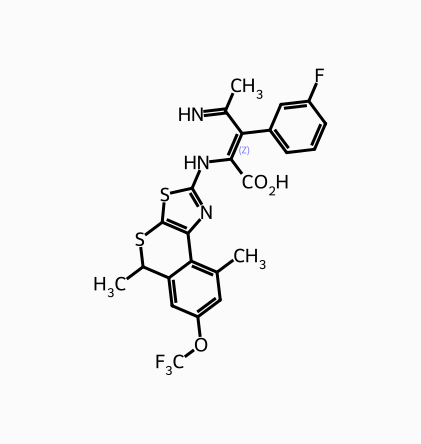 CC(=N)/C(=C(\Nc1nc2c(s1)SC(C)c1cc(OC(F)(F)F)cc(C)c1-2)C(=O)O)c1cccc(F)c1